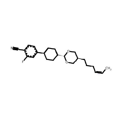 C/C=C\CCC[C@H]1CO[C@H](C2CCC(c3ccc(C#N)c(F)c3)CC2)OC1